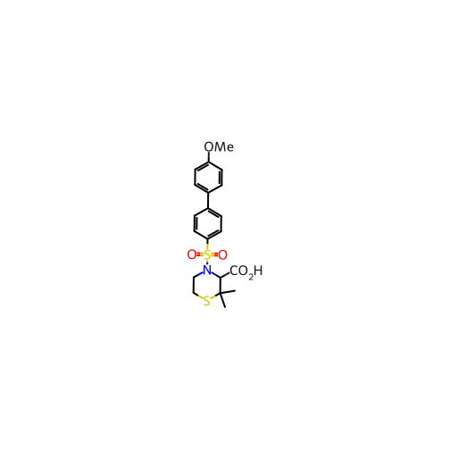 COc1ccc(-c2ccc(S(=O)(=O)N3CCSC(C)(C)C3C(=O)O)cc2)cc1